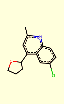 Cc1cc(C2CCCO2)c2cc(Cl)ccc2n1